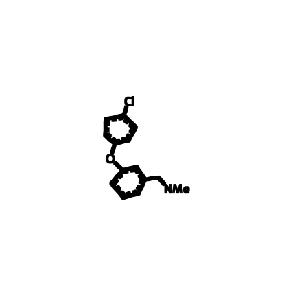 CNCc1cccc(Oc2ccc(Cl)cc2)c1